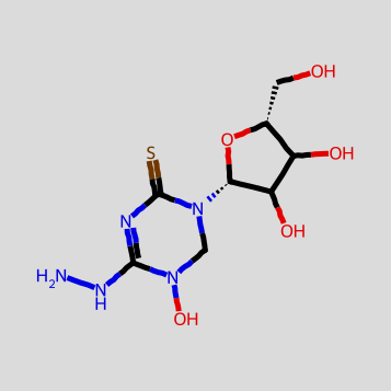 NNC1=NC(=S)N([C@@H]2O[C@H](CO)C(O)C2O)CN1O